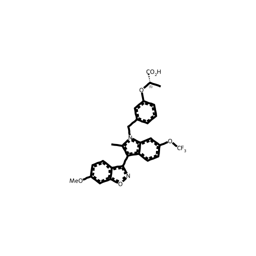 COc1ccc2c(-c3c(C)n(Cc4cccc(O[C@@H](C)C(=O)O)c4)c4cc(OC(F)(F)F)ccc34)noc2c1